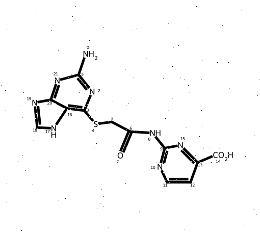 Nc1nc(SCC(=O)Nc2nccc(C(=O)O)n2)c2[nH]cnc2n1